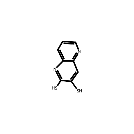 Sc1cc2ncccc2nc1S